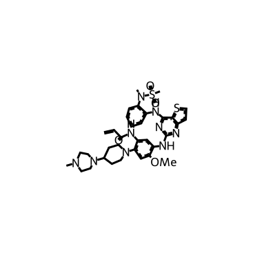 C=CC(=O)Nc1cc(Nc2nc(Nc3ccccc3N(C)S(C)(=O)=O)c3sccc3n2)c(OC)cc1N1CCC(N2CCN(C)CC2)CC1